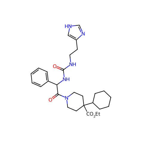 CCOC(=O)C1(C2CCCCC2)CCN(C(=O)C(NC(=O)NCCc2c[nH]cn2)c2ccccc2)CC1